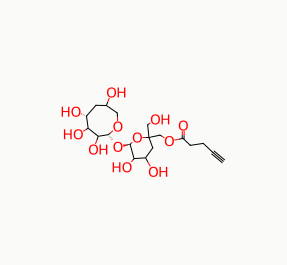 C#CCCC(=O)OCC1(CO)CC(O)C(O)[C@@H](O[C@H]2OCC(O)C[C@@H](O)C(O)C2O)O1